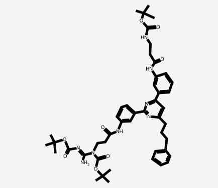 CC(C)(C)OC(=O)N=C(N)N(CCC(=O)Nc1cccc(-c2nc(CCCc3ccccc3)cc(-c3cccc(NC(=O)CCNC(=O)OC(C)(C)C)c3)n2)c1)C(=O)OC(C)(C)C